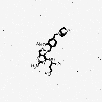 CCC[C@@H](CCO)Nc1nc(N)nc2cnn(Cc3ccc(CN4CC5CC4CN5)cc3OC)c12